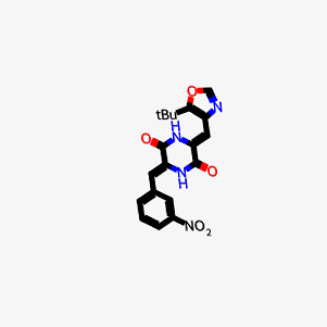 CC(C)(C)c1ocnc1C=c1[nH]c(=O)c(=Cc2cccc([N+](=O)[O-])c2)[nH]c1=O